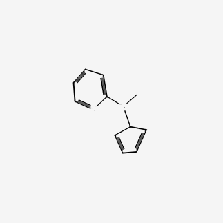 ON(c1ccccn1)C1C=CC=C1